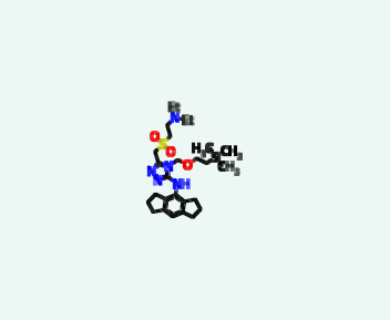 CCN(CC)CCS(=O)(=O)Cc1nnc(Nc2c3c(cc4c2CCC4)CCC3)n1COCC[Si](C)(C)C